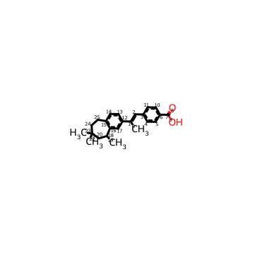 CC(=Cc1ccc(C(=O)O)cc1)c1ccc2c(c1)C(C)CC(C)(C)CC2